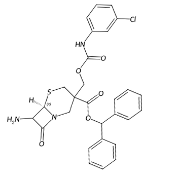 NC1C(=O)N2CC(COC(=O)Nc3cccc(Cl)c3)(C(=O)OC(c3ccccc3)c3ccccc3)CS[C@H]12